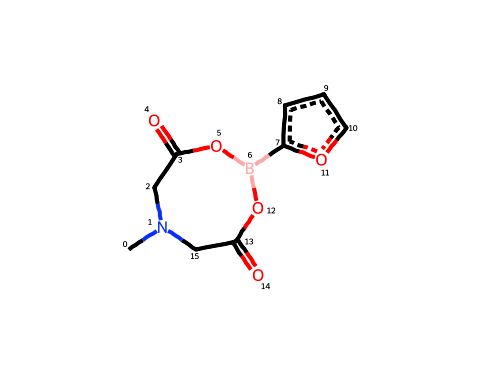 CN1CC(=O)OB(c2ccco2)OC(=O)C1